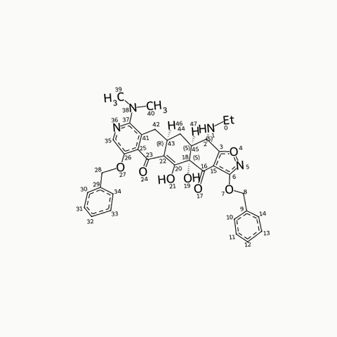 CCN[C@@H]1c2onc(OCc3ccccc3)c2C(=O)[C@@]2(O)C(O)=C3C(=O)c4c(OCc5ccccc5)cnc(N(C)C)c4C[C@H]3C[C@@H]12